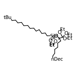 CCCCCCCCCCCCCCCCC(O[Si](OCC)(OCC)[SiH2]CCCCCCCCCCCCCC(C)(C)C)C(OCC)(OCC)OCC